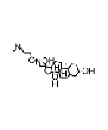 CN(C)CCCO/N=C/C1(O)CC[C@@]2(O)[C@@H]3CCC4CC(O)CC[C@]4(C)[C@@H]3CC[C@]12C